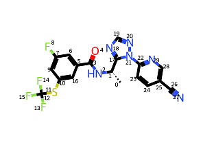 C[C@H](NC(=O)c1cc(F)cc(SC(F)(F)F)c1)c1ncnn1-c1ccc(C#N)cn1